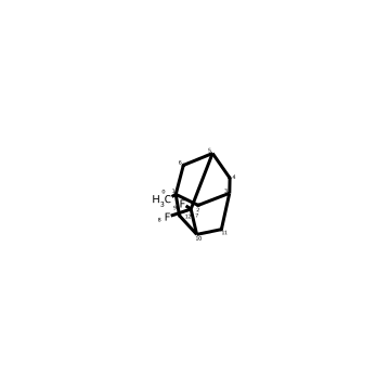 CC12CC3CC(C1)C(F)(F)C(C3)C2